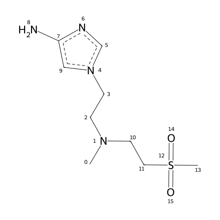 CN(CCn1cnc(N)c1)CCS(C)(=O)=O